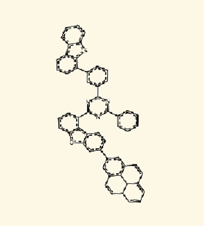 C1=CC2C=Cc3cc(-c4ccc5c(c4)oc4cccc(-c6nc(-c7ccccc7)nc(-c7cccc(-c8cccc9c8sc8ccccc89)c7)n6)c45)cc4c3C2C(=C1)C=C4